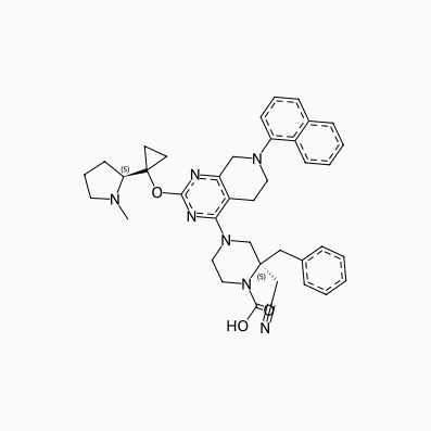 CN1CCC[C@H]1C1(Oc2nc3c(c(N4CCN(C(=O)O)[C@](CC#N)(Cc5ccccc5)C4)n2)CCN(c2cccc4ccccc24)C3)CC1